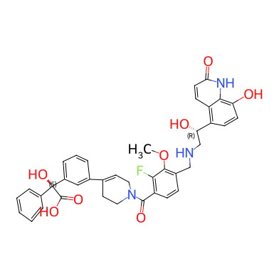 COc1c(CNC[C@H](O)c2ccc(O)c3[nH]c(=O)ccc23)ccc(C(=O)N2CC=C(c3cccc([C@](O)(C(=O)O)c4ccccc4)c3)CC2)c1F